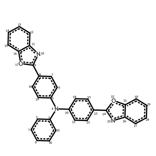 c1ccc(N(c2ccc(-c3nc4ccccc4o3)cc2)c2ccc(-c3nc4ccccc4o3)cc2)cc1